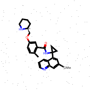 COc1cc(C2(NC(=O)c3cc(OC[C@@H]4CCCCN4)ccc3C)CC2)c2cccnc2c1